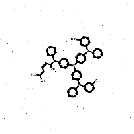 C=C(/C=C\C=C(C)C)N(c1ccccc1)c1ccc(N(c2ccc(N(c3ccccc3)c3cccc(C)c3)cc2)c2ccc(N(c3ccccc3)c3cccc(C)c3)cc2)cc1